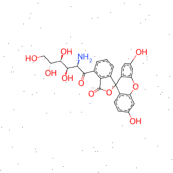 N[C@@H](C(=O)c1cccc2c1C(=O)OC21c2ccc(O)cc2Oc2cc(O)ccc21)[C@@H](O)[C@H](O)[C@H](O)CO